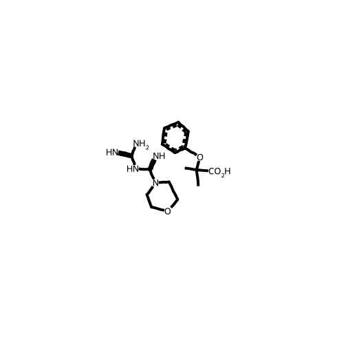 CC(C)(Oc1ccccc1)C(=O)O.N=C(N)NC(=N)N1CCOCC1